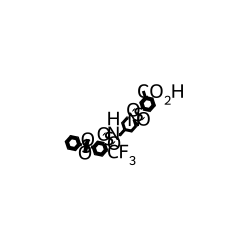 O=C(O)c1cccc(S(=O)(=O)N2CCC(CNS(=O)(=O)c3cc(S(=O)(=O)c4ccccc4)ccc3C(F)(F)F)CC2)c1